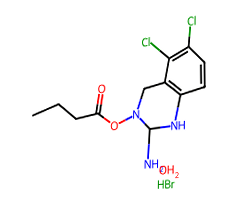 Br.CCCC(=O)ON1Cc2c(ccc(Cl)c2Cl)NC1N.O